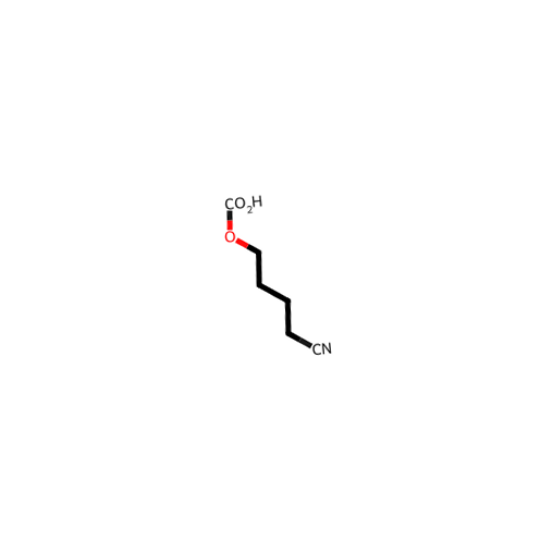 N#CCCCCOC(=O)O